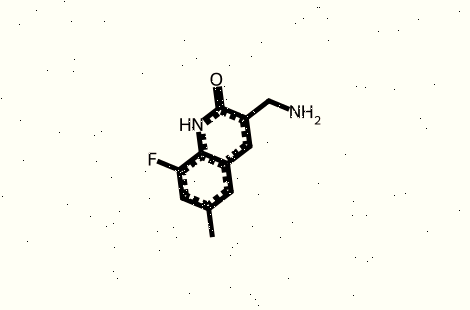 Cc1cc(F)c2[nH]c(=O)c(CN)cc2c1